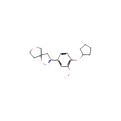 CC(C)Oc1cc(C2=NOC3(CCOC3)C2)ccc1OC1CCCC1